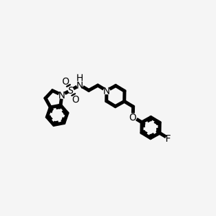 O=S(=O)(NCCN1CCC(COc2ccc(F)cc2)CC1)N1CCc2ccccc21